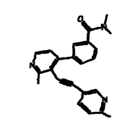 Cc1ccc(C#Cc2c(-c3cccc(C(=O)N(C)C)c3)ccnc2C)cn1